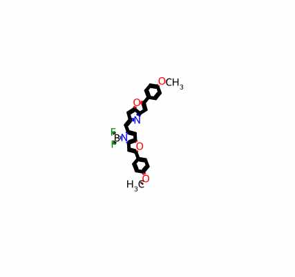 COc1ccc(-c2cc3c(o2)=C/C(=C/c2cc4oc(-c5ccc(OC)cc5)cc4n2B(F)F)N=3)cc1